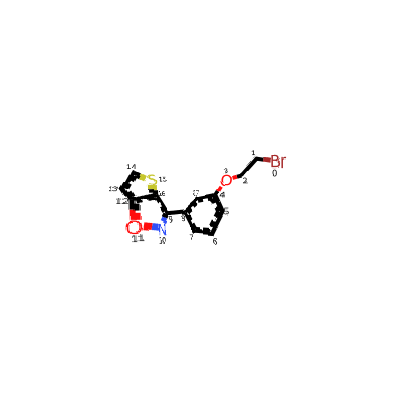 BrCCOc1cccc(-c2noc3ccsc23)c1